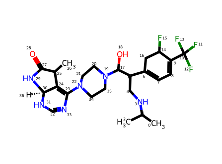 CC(C)NCC(C1=CC=C(C(F)(F)F)C(F)C1)C(O)N1CCN(C2=C3C(C)C(=O)N[C@@H]3NC=N2)CC1